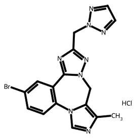 Cc1ncn2c1Cn1nc(Cn3nccn3)nc1-c1cc(Br)ccc1-2.Cl